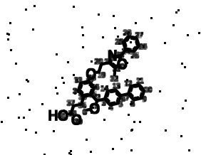 COC(c1ccc(-c2ccccc2)cc1)c1cc(OCCc2nc(-c3ccccc3)oc2C)ccc1CCC(=O)O